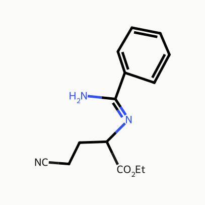 CCOC(=O)C(CCC#N)N=C(N)c1ccccc1